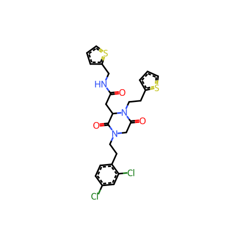 O=C(CC1C(=O)N(CCc2ccc(Cl)cc2Cl)CC(=O)N1CCc1cccs1)NCc1cccs1